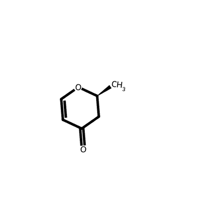 C[C@H]1CC(=O)C=CO1